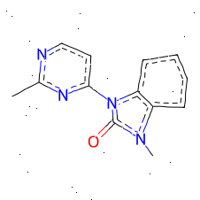 Cc1nccc(-n2c(=O)n(C)c3ccccc32)n1